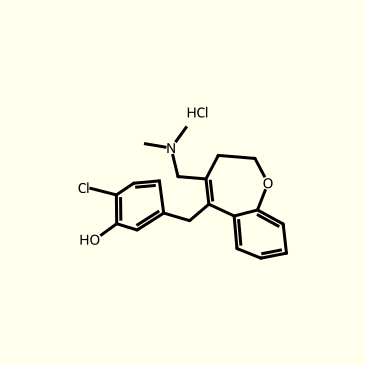 CN(C)CC1=C(Cc2ccc(Cl)c(O)c2)c2ccccc2OCC1.Cl